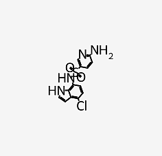 Nc1ccc(S(=O)(=O)Nc2ccc(Cl)c3cc[nH]c23)cn1